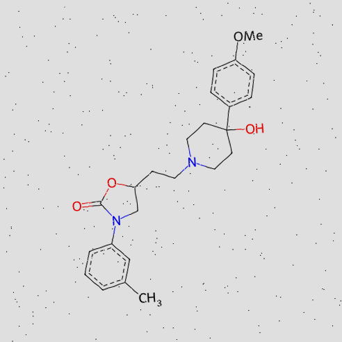 COc1ccc(C2(O)CCN(CCC3CN(c4cccc(C)c4)C(=O)O3)CC2)cc1